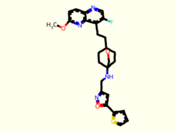 COc1ccc2ncc(F)c(CCC34CCC(NCc5cc(-c6cccs6)on5)(CC3)CO4)c2n1